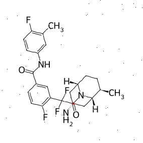 Cc1cc(NC(=O)c2ccc(F)c(C(F)(F)C(=O)N3[C@H]4CC[C@@H](C)[C@@H]3C[C@H](N)C4)c2)ccc1F